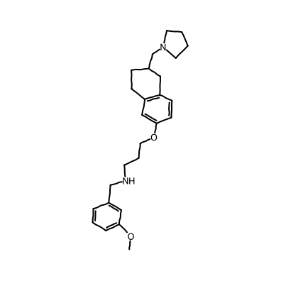 COc1cccc(CNCCCOc2ccc3c(c2)CCC(CN2CCCC2)C3)c1